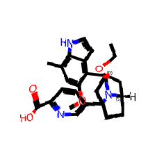 CCO[C@@H]1C[C@@H]2CCC(c3ccc(C(=O)O)nc3)(C1)N2Cc1c(OC)cc(C)c2[nH]ccc12